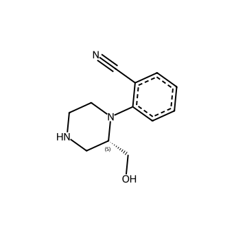 N#Cc1ccccc1N1CCNC[C@H]1CO